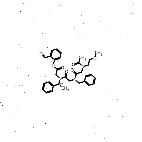 COCCN(CC(=O)N(CC(=O)N(CC(=O)Oc1ccccc1C=O)[C@@H](C)c1ccccc1)Cc1ccccc1)C(C)=O